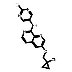 N#CC1(COc2cnc3c(Nc4cnc(Cl)nc4)nccc3c2)CC1